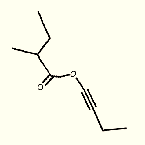 CCC#COC(=O)C(C)CC